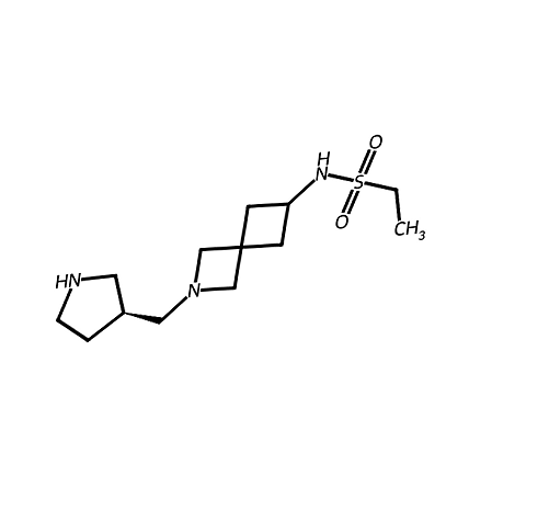 CCS(=O)(=O)NC1CC2(C1)CN(C[C@H]1CCNC1)C2